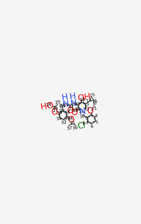 CCOc1cccc(Cl)c1Cn1cc(C2CC2)c(O)c(NC(=O)N[C@@H](CC(=O)O)c2cccc(OC(C)C)c2)c1=O